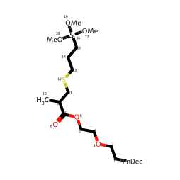 CCCCCCCCCCCCOCCOC(=O)C(C)CSCCC[Si](OC)(OC)OC